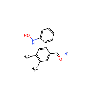 Cc1ccc(C=O)cc1C.ONc1ccccc1.[N]